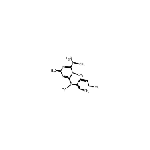 C/C=C(\C=C/CC)N(C)C1=NC(C)N=C(N(C)C)N1C